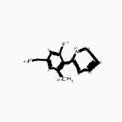 Cc1cc(F)cc(F)c1-c1ccccn1